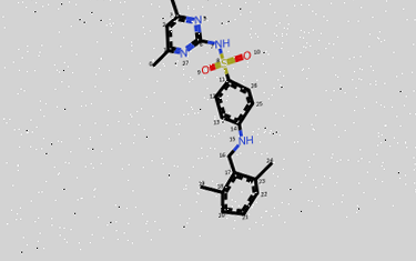 Cc1cc(C)nc(NS(=O)(=O)c2ccc(NCc3c(C)cccc3C)cc2)n1